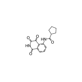 O=C1NC(=O)c2cccc(NC(=O)C3CCCC3)c2C1=O